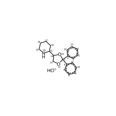 Cl.c1ccc(C2(c3ccccc3)OCC(C3CCCCN3)O2)cc1